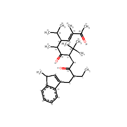 CCC(CC1=CC(C)c2ccccc21)C(=O)CC(C(=O)C(C)C(/C=C(\C)C(C)=O)C(C)C)C(C)(C)C